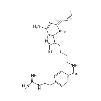 C=C(NCCCCn1c(CC)nc2c(N)n/c(=C/C=C\C)c(=C)c21)c1ccc(CCNC(=N)N)cc1